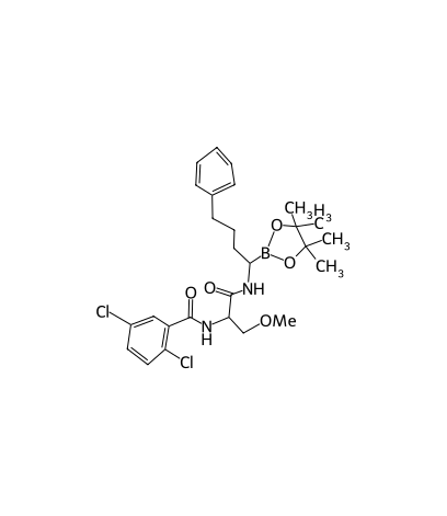 COCC(NC(=O)c1cc(Cl)ccc1Cl)C(=O)NC(CCCc1ccccc1)B1OC(C)(C)C(C)(C)O1